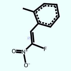 Cc1ccccc1/C=C(\F)[N+](=O)[O-]